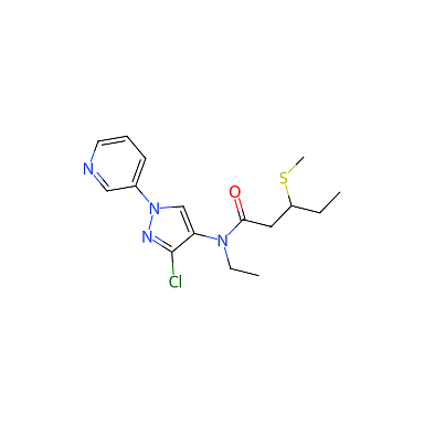 CCC(CC(=O)N(CC)c1cn(-c2cccnc2)nc1Cl)SC